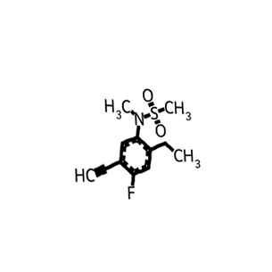 C#Cc1cc(N(C)S(C)(=O)=O)c(CC)cc1F